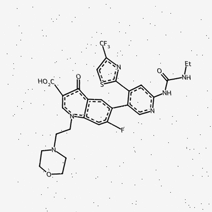 CCNC(=O)Nc1cc(-c2nc(C(F)(F)F)cs2)c(-c2cc3c(=O)c(C(=O)O)cn(CCN4CCOCC4)c3cc2F)cn1